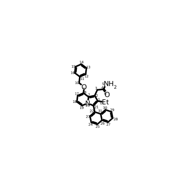 CCc1c(CC(N)=O)c2c(OCc3ccccc3)cccn2c1-c1cccc2ccccc12